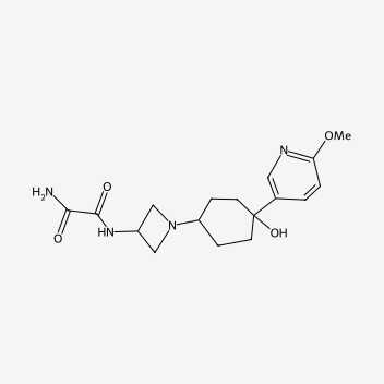 COc1ccc(C2(O)CCC(N3CC(NC(=O)C(N)=O)C3)CC2)cn1